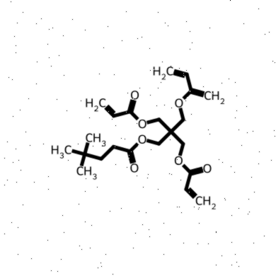 C=CC(=C)OCC(COC(=O)C=C)(COC(=O)C=C)COC(=O)CCC(C)(C)C